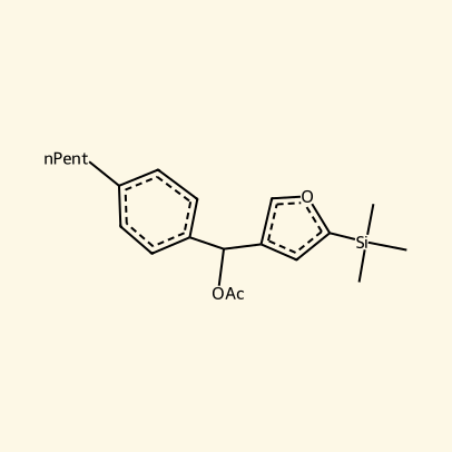 CCCCCc1ccc(C(OC(C)=O)c2coc([Si](C)(C)C)c2)cc1